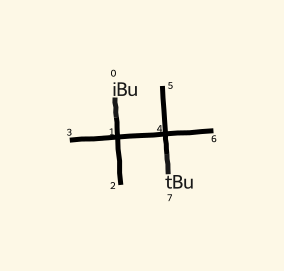 CCC(C)C(C)(C)C(C)(C)C(C)(C)C